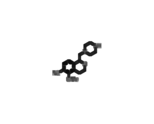 COc1c(C#N)ccc2c1CCOC2CN1CCNCC1